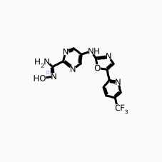 N/C(=N\O)c1ncc(Nc2ncc(-c3ccc(C(F)(F)F)cn3)o2)cn1